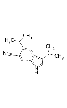 CC(C)c1cc2c(C(C)C)c[nH]c2cc1C#N